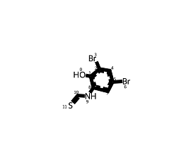 Oc1c(Br)cc(Br)cc1NC=S